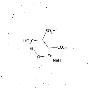 CCOCC.O=C(O)CC(C(=O)O)S(=O)(=O)O.[NaH]